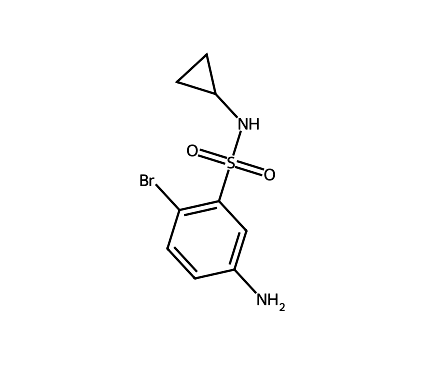 Nc1ccc(Br)c(S(=O)(=O)NC2CC2)c1